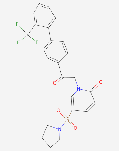 O=C(Cn1cc(S(=O)(=O)N2CCCC2)ccc1=O)c1ccc(-c2ccccc2C(F)(F)F)cc1